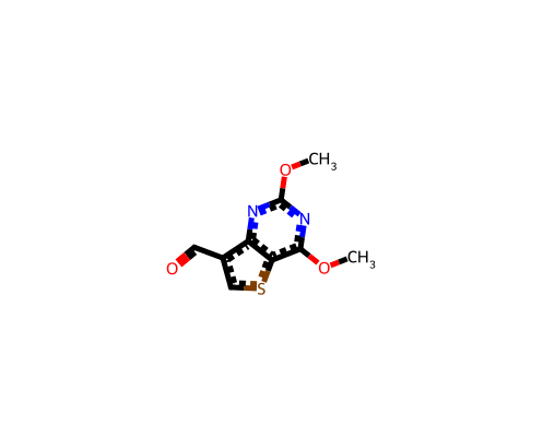 COc1nc(OC)c2scc(C=O)c2n1